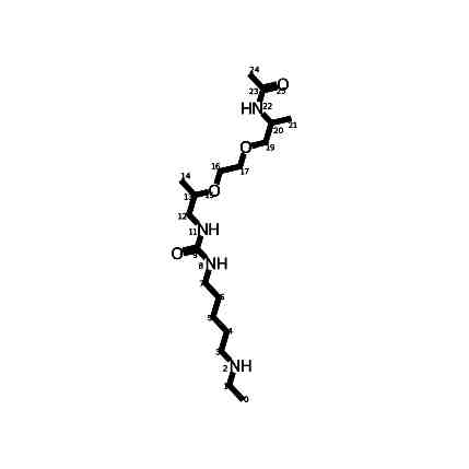 CCNCCCCCNC(=O)NCC(C)OCCOCC(C)NC(C)=O